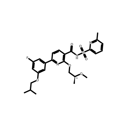 CO[C@@H](C)COc1nc(-c2cc(F)cc(OCC(C)C)c2)ccc1C(=O)NS(=O)(=O)c1cccc(C)n1